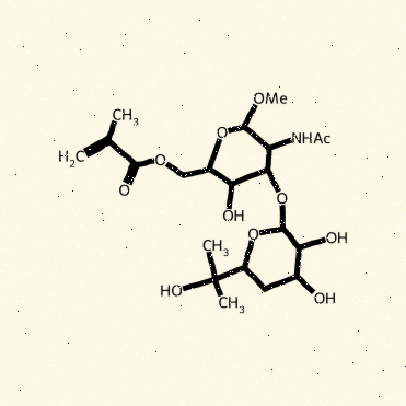 C=C(C)C(=O)OCC1OC(OC)C(NC(C)=O)C(OC2OC(C(C)(C)O)CC(O)C2O)C1O